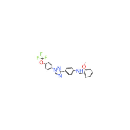 COc1ccccc1CNc1ccc(-c2ncn(-c3ccc(OC(F)(F)F)cc3)n2)cc1